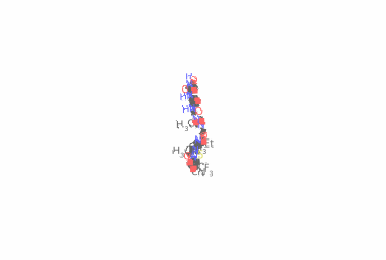 CCc1cc(N2C(=S)N(c3ccc(C#N)c(C(F)(F)F)c3)C(=O)C2(C)C)cnc1OCCN1CCN(CC(=O)Nc2cccc(NC3CCC(=O)NC3=O)c2)[C@H](C)C1